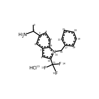 CC(N)c1ccc2c(c1)cc(C(F)(F)F)n2Cc1ccccc1.Cl